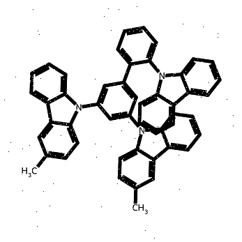 Cc1ccc2c(c1)c1ccccc1n2-c1cc(-c2ccccc2-n2c3ccccc3c3ccccc32)cc(-n2c3ccccc3c3cc(C)ccc32)c1